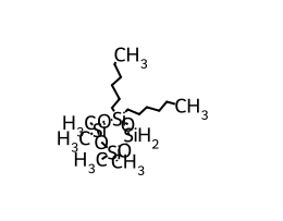 CCCCCC[Si]1(CCCCCC)O[SiH2]O[Si](C)(C)O[Si](C)(C)O1